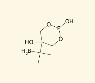 BC(C)(C)C1(O)COP(O)OC1